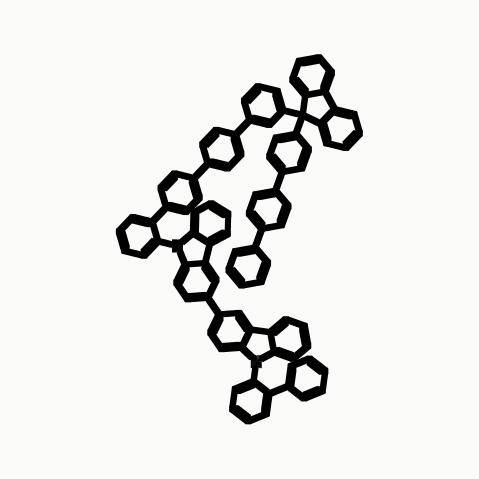 c1ccc(-c2ccc(-c3ccc(C4(c5cccc(-c6ccc(-c7ccc(-c8ccccc8-n8c9ccccc9c9cc(-c%10ccc%11c(c%10)c%10ccccc%10n%11-c%10ccccc%10-c%10ccccc%10)ccc98)cc7)cc6)c5)c5ccccc5-c5ccccc54)cc3)cc2)cc1